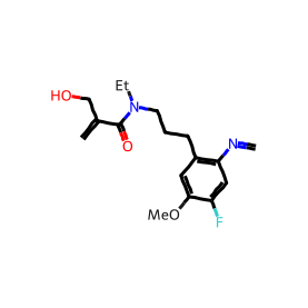 C=Nc1cc(F)c(OC)cc1CCCN(CC)C(=O)C(=C)CO